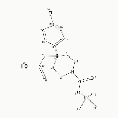 CC(C)(C)OC(=O)N1CCC(CC(=O)O)(c2ccc(Cl)cc2)CC1